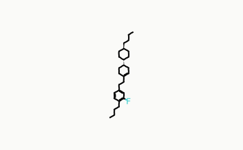 CCCCc1ccc(CCC2=CCC([C@H]3CC[C@H](CCCC)CC3)CC2)cc1F